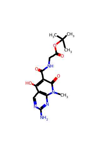 Cn1c(=O)c(C(=O)NCC(=O)OC(C)(C)C)c(O)c2cnc(N)nc21